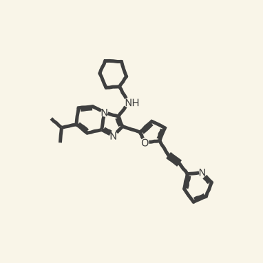 CC(C)c1ccn2c(NC3CCCCC3)c(-c3ccc(C#Cc4ccccn4)o3)nc2c1